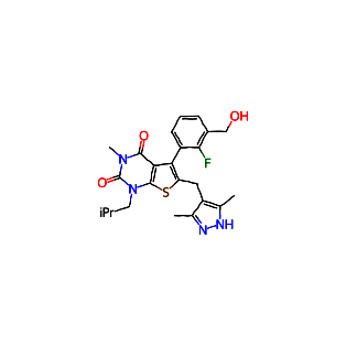 Cc1n[nH]c(C)c1Cc1sc2c(c1-c1cccc(CO)c1F)c(=O)n(C)c(=O)n2CC(C)C